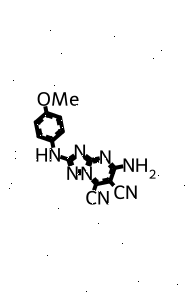 COc1ccc(Nc2nc3nc(N)c(C#N)c(C#N)n3n2)cc1